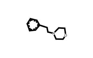 [c]1ccc(CCN2CCOCC2)cc1